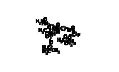 CC(C)[C@H](NC(=O)CCOCCC(C)(C)C)C(=O)N[C@@H](CCCNC(N)=O)C(=O)Nc1ccc(COC(=O)N2C[C@@H](F)C[C@H]2COC(=O)C(C)(C)C)cc1